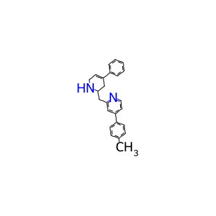 Cc1ccc(-c2ccnc(CC3CC(c4ccccc4)=CCN3)c2)cc1